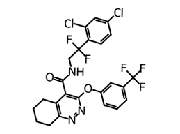 O=C(NCC(F)(F)c1ccc(Cl)cc1Cl)c1c(Oc2cccc(C(F)(F)F)c2)nnc2c1CCCC2